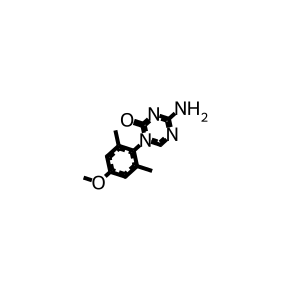 COc1cc(C)c(-n2cnc(N)nc2=O)c(C)c1